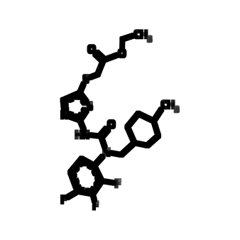 CCOC(=O)CSc1cnc(NC(=O)N(CC2CCC(C)CC2)c2ccc(F)c(F)c2F)s1